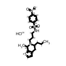 CCCC1Cc2ccsc2C(C)N1CCCNS(=O)(=O)c1ccc([N+](=O)[O-])cc1.Cl